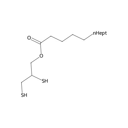 CCCCCCCCCCCC(=O)OCC(S)CS